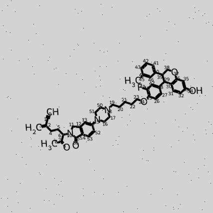 C#CC(=C)CCC(C(C)=O)N1Cc2cc(N3CCN(CCCCCOc4ccc(C5c6ccc(O)cc6OCC5c5cccc(C)c5)cc4F)CC3)ccc2C1=O